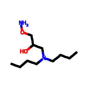 CCCCN(CCCC)CC(O)CON